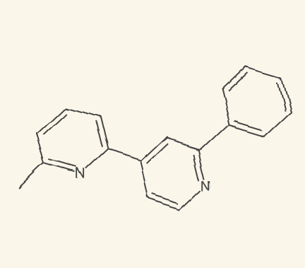 Cc1cccc(-c2ccnc(-c3ccccc3)c2)n1